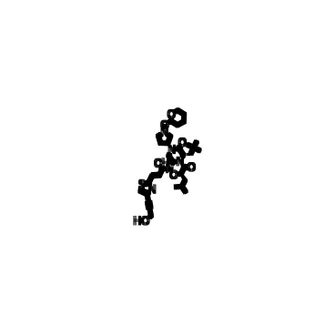 CC(C)C[C@H]1ON(C(=O)/C=C/c2nc(C#CCO)cs2)[C@H]2CN([C@@H]3CCN(OC4CCCCO4)C3)C(=O)[C@H](CC(C)(C)C)N2C1=O